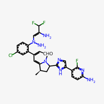 C[C@@H]1CC(c2ncc(-c3ccc(N)nc3F)[nH]2)N(C)/C1=C\C(=C/C=O)c1cc(Cl)ccc1N(N)/C=C(\N)C(F)F